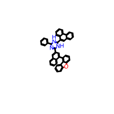 c1ccc(C2N=C(c3cc(-c4cccc5oc6ccccc6c45)c4ccccc4c3)NC(c3cc4ccccc4c4ccccc34)N2)cc1